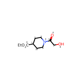 CCOC(=O)C1CCN(C(=O)CO)CC1